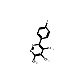 Cc1nnc(-c2ccc(F)cc2)c(C)c1C